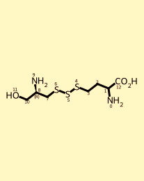 NC(CCSSSC[C@H](N)CO)C(=O)O